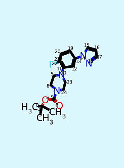 CC(C)(C)OC(=O)N1CCN(c2cc(-n3cccn3)ccc2F)CC1